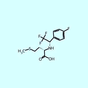 CSCC[C@H](N[C@@H](c1ccc(F)cc1)C(F)(F)F)C(=O)O